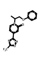 CC(COc1ccccc1)n1ccc(-c2noc(C(F)(F)F)n2)cc1=O